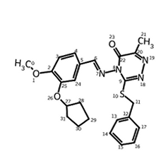 COc1ccc(C=Nn2c(SCc3ccccc3)nnc(C)c2=O)cc1OC1CCCC1